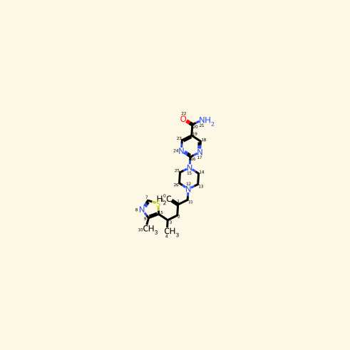 C=C(CC(C)c1scnc1C)CN1CCN(c2ncc(C(N)=O)cn2)CC1